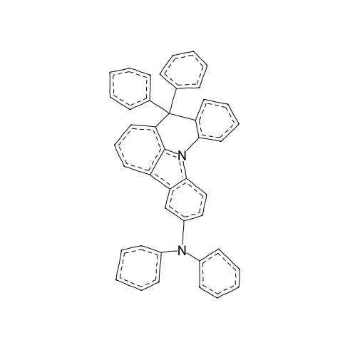 c1ccc(N(c2ccccc2)c2ccc3c(c2)c2cccc4c2n3-c2ccccc2C4(c2ccccc2)c2ccccc2)cc1